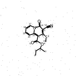 CCC(C)OC(=O)c1c(SC)c(C#N)c(=O)n2ccccc12